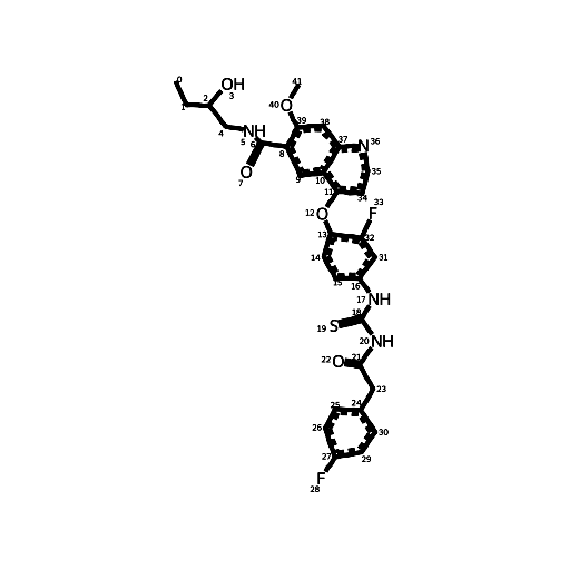 CCC(O)CNC(=O)c1cc2c(Oc3ccc(NC(=S)NC(=O)Cc4ccc(F)cc4)cc3F)ccnc2cc1OC